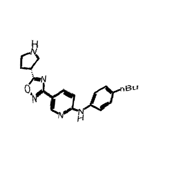 CCCCc1ccc(Nc2ccc(-c3noc([C@@H]4CCNC4)n3)cn2)cc1